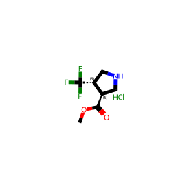 COC(=O)[C@@H]1CNC[C@H]1C(F)(F)F.Cl